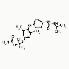 Cc1cc(CC(C)(C)OC(N)=O)cc(C)c1Oc1ccc(NC(=O)NC(C)C)cc1